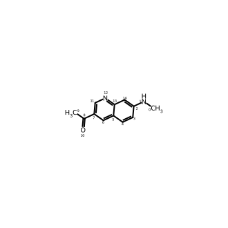 CNc1ccc2cc(C(C)=O)cnc2c1